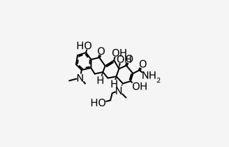 CN(C)c1ccc(O)c2c1C[C@H]1C[C@H]3[C@@H](N(C)CCO)C(O)=C(C(N)=O)C(=O)[C@@]3(O)C(O)=C1C2=O